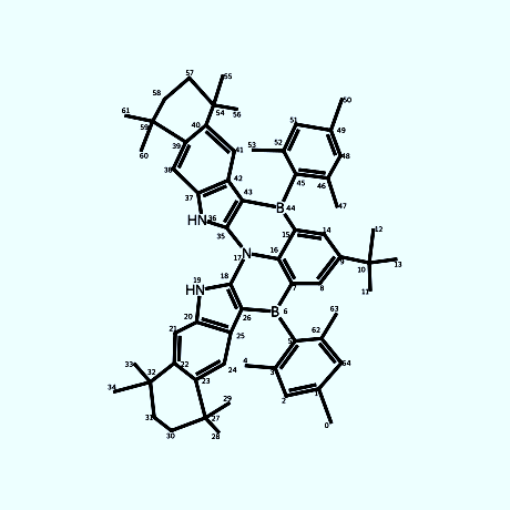 Cc1cc(C)c(B2c3cc(C(C)(C)C)cc4c3N(c3[nH]c5cc6c(cc5c32)C(C)(C)CCC6(C)C)c2[nH]c3cc5c(cc3c2B4c2c(C)cc(C)cc2C)C(C)(C)CCC5(C)C)c(C)c1